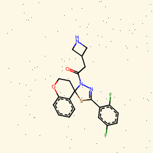 O=C(CC1CNC1)N1N=C(c2cc(F)ccc2F)SC12CCOc1ccccc12